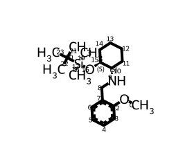 COc1ccccc1CN[C@H]1CCCC[C@@H]1O[Si](C)(C)C(C)(C)C